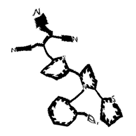 N#CC(C#N)=C(C#N)c1ccc(-c2ccc(-c3cccs3)n2-c2ccccc2Br)s1